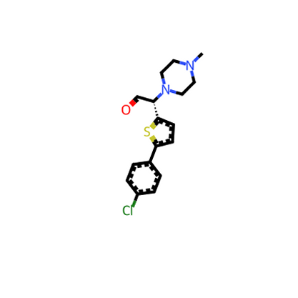 CN1CCN([C@@H](C=O)c2ccc(-c3ccc(Cl)cc3)s2)CC1